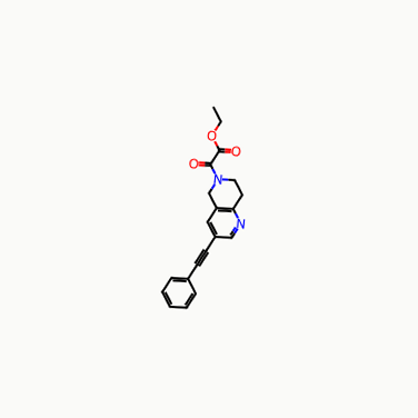 CCOC(=O)C(=O)N1CCc2ncc(C#Cc3ccccc3)cc2C1